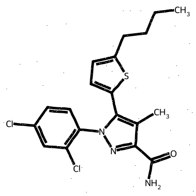 CCCCc1ccc(-c2c(C)c(C(N)=O)nn2-c2ccc(Cl)cc2Cl)s1